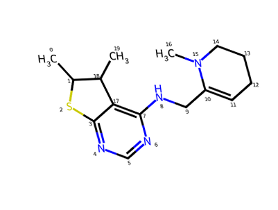 CC1Sc2ncnc(NCC3=CCCCN3C)c2C1C